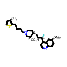 COc1ccc2nccc([C@H](F)CC[C@@H]3CCN(CCCCc4sccc4C)C[C@@H]3C(=O)O)c2c1